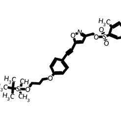 Cc1ccccc1S(=O)(=O)OCc1cc(C#Cc2ccc(OCCCO[Si](C)(C)C(C)(C)C)cc2)on1